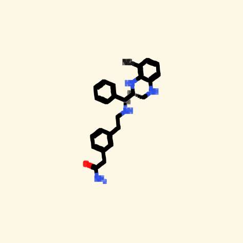 N#Cc1cccc2c1N[C@@H]([C@H](NCCc1cccc(CC(N)=O)c1)c1ccccc1)CN2